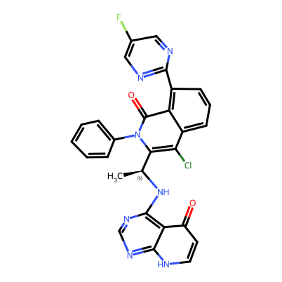 C[C@H](Nc1ncnc2[nH]ccc(=O)c12)c1c(Cl)c2cccc(-c3ncc(F)cn3)c2c(=O)n1-c1ccccc1